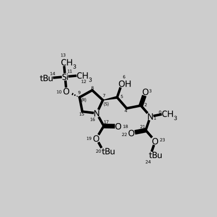 CN(C(=O)CC(O)[C@@H]1C[C@@H](O[Si](C)(C)C(C)(C)C)CN1C(=O)OC(C)(C)C)C(=O)OC(C)(C)C